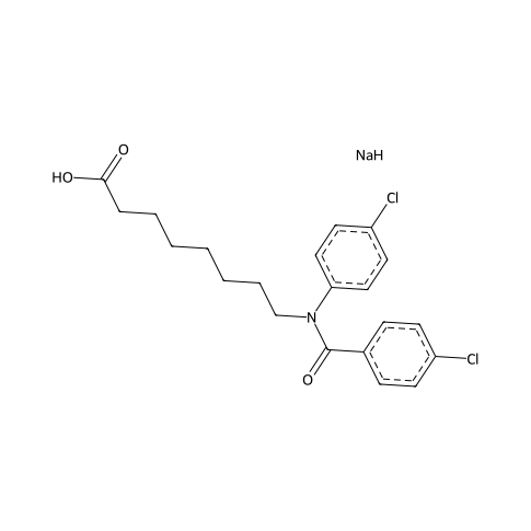 O=C(O)CCCCCCCN(C(=O)c1ccc(Cl)cc1)c1ccc(Cl)cc1.[NaH]